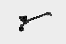 CCCCCCCCCCCCCCOP(=O)(OCCOc1ccccc1)OP(=O)(O)O